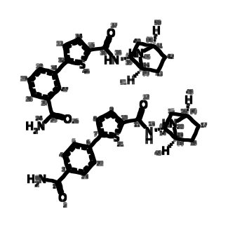 NC(=O)c1ccc(-c2ccc(C(=O)N[C@@H]3C[C@H]4CC[C@@H]3N4)s2)cc1.NC(=O)c1cccc(-c2ccc(C(=O)N[C@@H]3C[C@H]4CC[C@@H]3N4)s2)c1